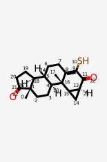 C[C@]12CC[C@H]3[C@@H](CCC4=C(S)C(=O)[C@H]5CC5[C@@]43C)[C@@H]1CCC2=O